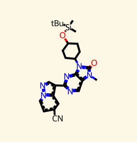 Cn1c(=O)n(C2CCC(O[Si](C)(C)C(C)(C)C)CC2)c2nc(-c3cnn4ccc(C#N)cc34)ncc21